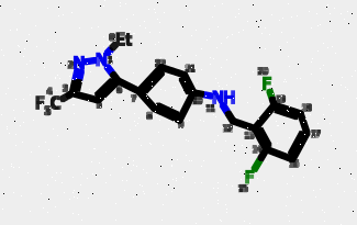 CCn1nc(C(F)(F)F)cc1-c1ccc(NCc2c(F)cccc2F)cc1